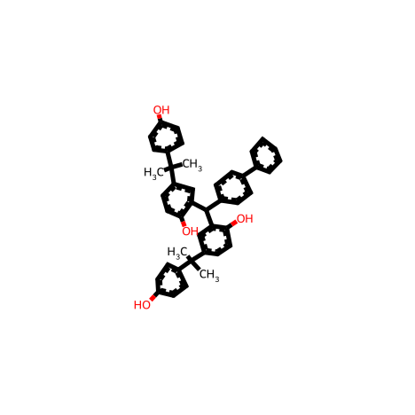 CC(C)(c1ccc(O)cc1)c1ccc(O)c(C(c2ccc(-c3ccccc3)cc2)c2cc(C(C)(C)c3ccc(O)cc3)ccc2O)c1